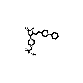 COC(=O)CN1CCN(C2OC(=O)N(C)C2CCC2CCN(C3CCCCC3)CC2)CC1